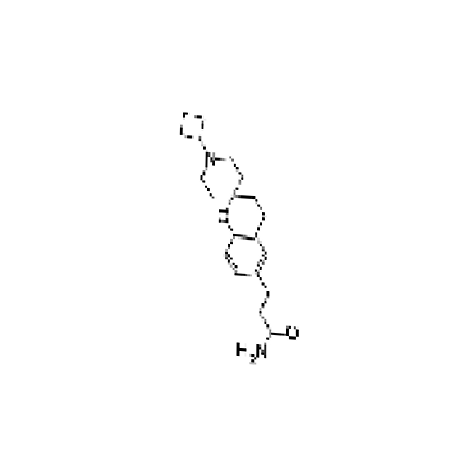 NC(=O)CCc1ccc2c(c1)CCC1(CCN(C3CCC3)CC1)O2